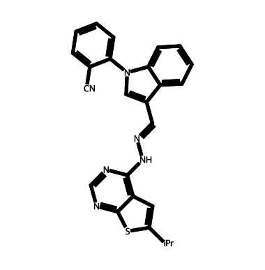 CC(C)c1cc2c(N/N=C/c3cn(-c4ccccc4C#N)c4ccccc34)ncnc2s1